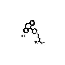 CC(C)C(C#N)CCCN1CCC(=C2c3ccccc3C=Cc3ccccc32)CC1.Cl